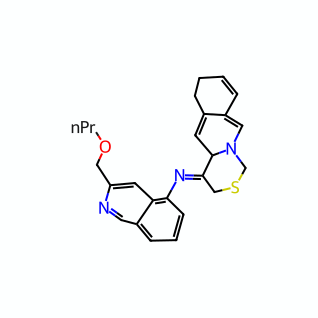 CCCOCc1cc2c(N=C3CSCN4C=C5C=CCCC5=CC34)cccc2cn1